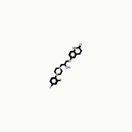 O=C1CCc2cc(OCC(O)CN3CCN(c4ccc(F)cc4F)CC3)ccc2N1